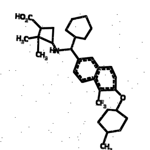 CC1CCC(Oc2ccc3cc(C(NC4CC(C(=O)O)C4(C)C)C4CCCCC4)ccc3c2C(F)(F)F)CC1